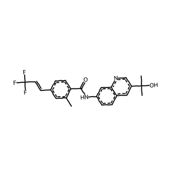 Cc1cc(C=CC(F)(F)F)ccc1C(=O)Nc1ccc2cc(C(C)(C)O)cnc2c1